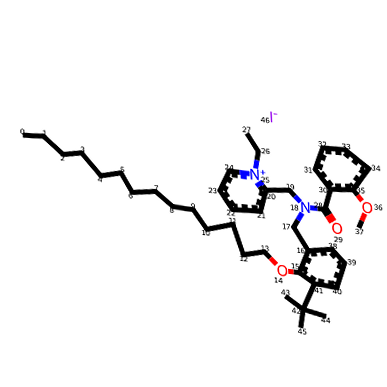 CCCCCCCCCCCCCCOc1c(CN(Cc2cccc[n+]2CC)C(=O)c2ccccc2OC)cccc1C(C)(C)C.[I-]